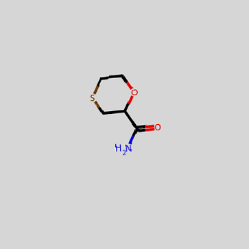 NC(=O)C1CSCCO1